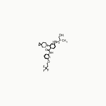 C[C@@H](CO)SNc1ccc(C(=O)Nc2cccc(OCCC(F)(F)F)n2)c(N2CCC3(CC2)CC3)c1